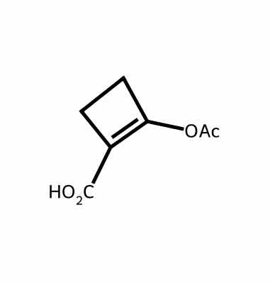 CC(=O)OC1=C(C(=O)O)CC1